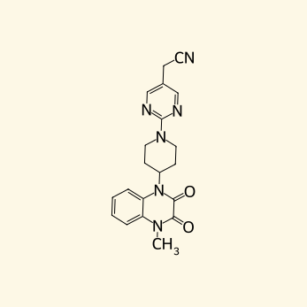 Cn1c(=O)c(=O)n(C2CCN(c3ncc(CC#N)cn3)CC2)c2ccccc21